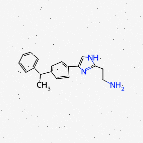 CC(c1ccccc1)c1ccc(-c2c[nH]c(CCN)n2)cc1